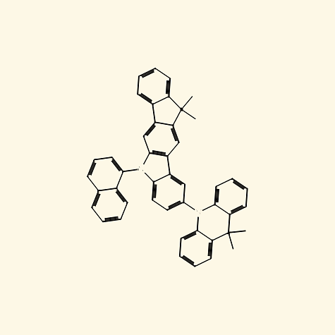 CC1(C)c2ccccc2-c2cc3c(cc21)c1cc(N2c4ccccc4C(C)(C)c4ccccc42)ccc1n3-c1cccc2ccccc12